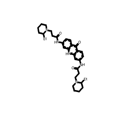 CCC1CCCCN1CCC(=O)Nc1ccc2c(=O)c3ccc(NC(=O)CCN4CCCCC4CC)cc3[nH]c2c1